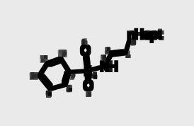 CCCCCCCC=CNS(=O)(=O)c1ccccc1